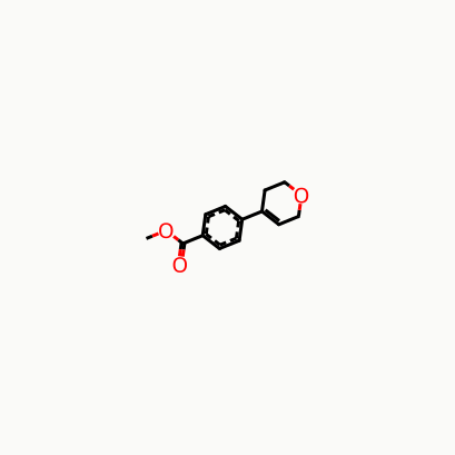 COC(=O)c1ccc(C2=CCOCC2)cc1